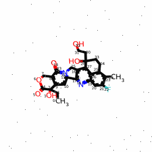 CCC1(O)C(=O)OCc2c1cc1n(c2=O)Cc2c-1nc1cc(F)c(C)c3c1c2C(O)(CCO)CC3